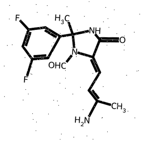 C/C(N)=C\C=C1\C(=O)NC(C)(c2cc(F)cc(F)c2)N1C=O